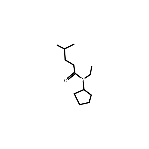 CCN(C(=O)CCC(C)C)C1CCCC1